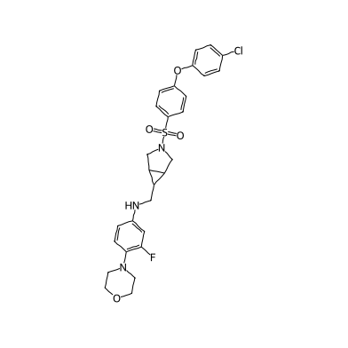 O=S(=O)(c1ccc(Oc2ccc(Cl)cc2)cc1)N1CC2C(CNc3ccc(N4CCOCC4)c(F)c3)C2C1